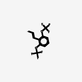 [CH2]C=Cc1c(OC(F)(F)F)cccc1OC(F)(F)F